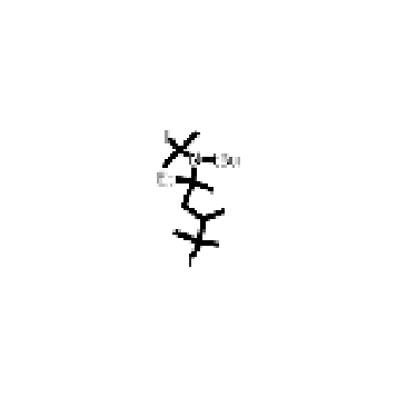 CCC(C)(CC(C)C(C)(C)I)N(C(C)(C)C)C(C)(C)I